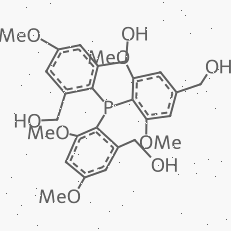 COc1cc(CO)c(P(c2c(CO)cc(OC)cc2OC)c2c(OC)cc(CO)cc2OC)c(CO)c1